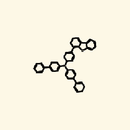 C1=CC(c2ccc(N(c3ccc(-c4ccccc4)cc3)C3C=CC(C4=c5oc6ccccc6c5=CCC4)=CC3)cc2)=CCC1